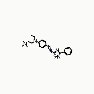 CCN(CC[N+](C)(C)C)c1ccc(/N=N/c2nc(-c3ccccc3)ns2)cc1